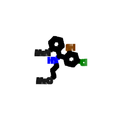 CNc1ccccc1C(NCCCOC)c1ccc(Cl)cc1S